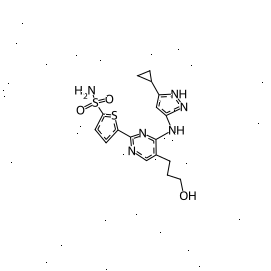 NS(=O)(=O)c1ccc(-c2ncc(CCCO)c(Nc3cc(C4CC4)[nH]n3)n2)s1